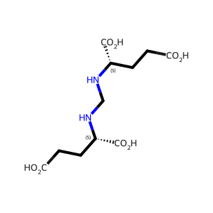 O=C(O)CC[C@H](NCN[C@@H](CCC(=O)O)C(=O)O)C(=O)O